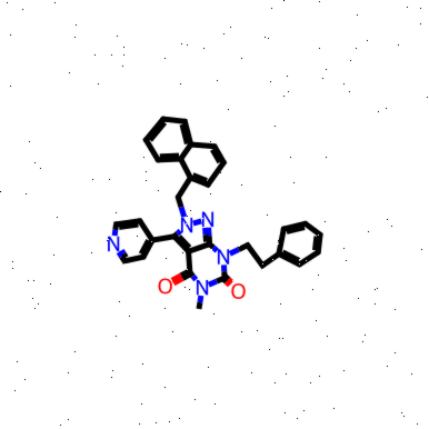 Cn1c(=O)c2c(-c3ccncc3)n(Cc3cccc4ccccc34)nc2n(CCc2ccccc2)c1=O